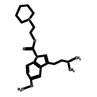 COc1ccc2c(c1)c(CCN(C)C)cn2C(=O)OCCN1CCCCC1